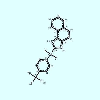 C[Si](C)(c1ccc(C(F)(F)F)cc1)c1nc2ccc3ccccc3c2s1